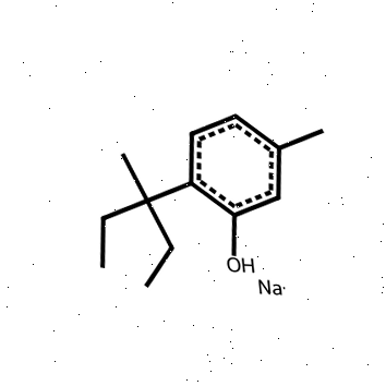 CCC(C)(CC)c1ccc(C)cc1O.[Na]